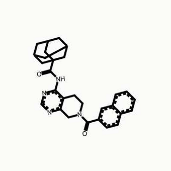 O=C(c1ccc2ccccc2c1)N1CCc2c(ncnc2NC(=O)C23CC4CC(CC(C4)C2)C3)C1